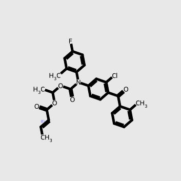 C/C=C/C(=O)OC(C)OC(=O)N(c1ccc(C(=O)c2ccccc2C)c(Cl)c1)c1ccc(F)cc1C